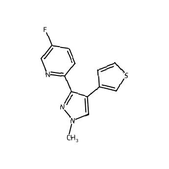 Cn1cc(-c2ccsc2)c(-c2ccc(F)cn2)n1